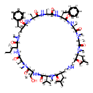 CC[C@H](C)[C@@H]1NC(=O)[C@H](C)N(C)C(=O)[C@H]([C@@H](C)O)NC(=O)C(C(C)C)N(C)C(=O)[C@H](CC(C)C)CNCC(=O)[C@H](CC(C)C)N(C)C(=O)[C@@H](C)N(C)C(=O)[C@H](C)NC(=O)[C@H](Cc2ccccc2)NC(=O)[C@H](C)NC(=O)[C@H](C)NC(=O)[C@H](Cc2ccccc2)CN(C)C1=O